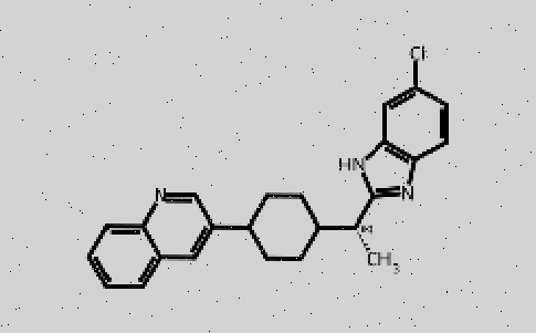 C[C@@H](c1nc2ccc(Cl)cc2[nH]1)C1CCC(c2cnc3ccccc3c2)CC1